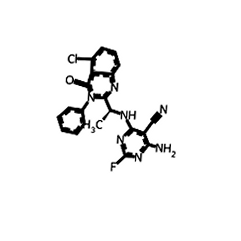 C[C@H](Nc1nc(F)nc(N)c1C#N)c1nc2cccc(Cl)c2c(=O)n1-c1ccccc1